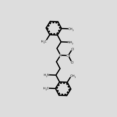 Cc1cccc(C)c1C(N)CC[N](CC(N)c1c(C)cccc1C)[Co]([Cl])[Cl]